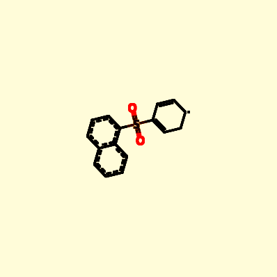 O=S(=O)(C1=CC[CH]C=C1)c1cccc2ccccc12